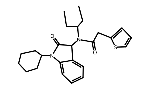 CCC(CC)N(C(=O)Cc1cccs1)C1C(=O)N(C2CCCCC2)c2ccccc21